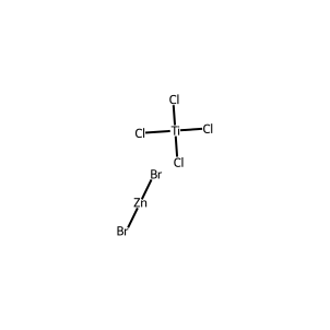 [Br][Zn][Br].[Cl][Ti]([Cl])([Cl])[Cl]